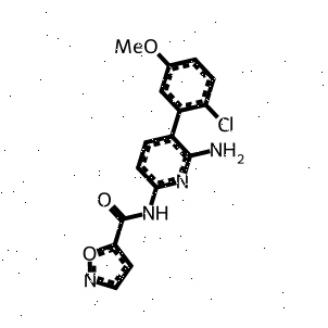 COc1ccc(Cl)c(-c2ccc(NC(=O)c3ccno3)nc2N)c1